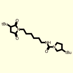 CC(C)(C)C1CCN(C(=O)NCCCCCCN2C(=O)CC(C(C)(C)C)C2=O)C1